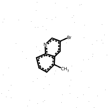 Cc1cccc2ncc(Br)cc12